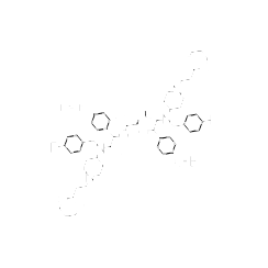 CC(C)COc1ccc(C(OC(=O)C(=O)OC(C(=O)N(Cc2ccc(F)cc2)C2CCN(CCC3OCCCO3)CC2)c2ccc(OCC(C)C)cc2)C(=O)N(Cc2ccc(F)cc2)C2CCN(CCC3OCCCO3)CC2)cc1